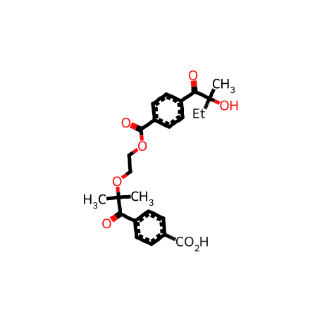 CCC(C)(O)C(=O)c1ccc(C(=O)OCCOC(C)(C)C(=O)c2ccc(C(=O)O)cc2)cc1